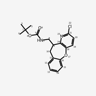 CC(C)(C)OC(=O)NCC1Cc2ccccc2Oc2ccc(Cl)nc21